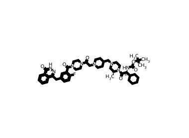 C[C@@H]1CN(CC2CCN(CC(=O)N3CCN(C(=O)c4cc(Cc5n[nH]c(=O)c6ccccc56)ccc4F)CC3)CC2)CCN1C(=O)[C@H](NC(=O)OC(C)(C)C)C1CCCCC1